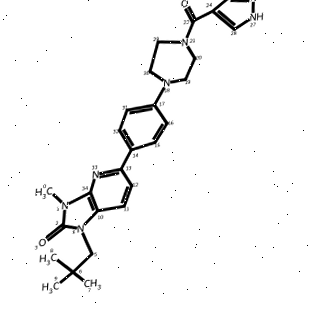 Cn1c(=O)n(CC(C)(C)C)c2ccc(-c3ccc(N4CCN(C(=O)c5cn[nH]c5)CC4)cc3)nc21